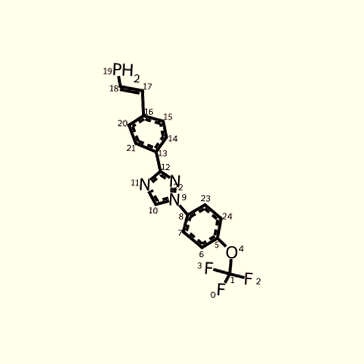 FC(F)(F)Oc1ccc(-n2cnc(-c3ccc(/C=C/P)cc3)n2)cc1